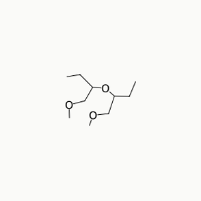 CCC(COC)OC(CC)COC